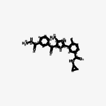 Cc1ccc(C(=O)NC2CC2)cc1-c1nc(C(=O)c2cccc(C(=O)NN)c2)c(N)[nH]1